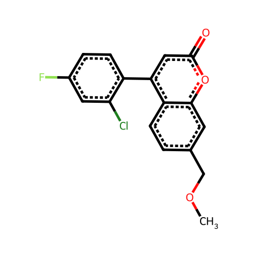 COCc1ccc2c(-c3ccc(F)cc3Cl)cc(=O)oc2c1